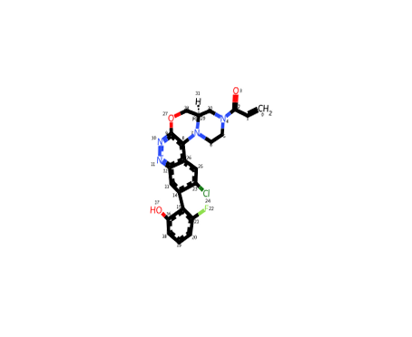 C=CC(=O)N1CCN2c3c(nnc4cc(-c5c(O)cccc5F)c(Cl)cc34)OC[C@H]2C1